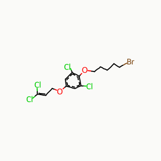 ClC(Cl)=CCOc1cc(Cl)c(OCCCCCBr)c(Cl)c1